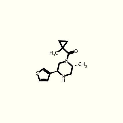 C[C@@H]1CN[C@@H](c2ccsc2)CN1C(=O)C1(C)CC1